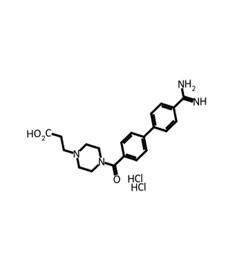 Cl.Cl.N=C(N)c1ccc(-c2ccc(C(=O)N3CCN(CCC(=O)O)CC3)cc2)cc1